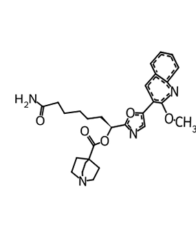 COc1nc2ccccc2cc1-c1cnc([C@H](CCCCCC(N)=O)OC(=O)C23CCN(CC2)CC3)o1